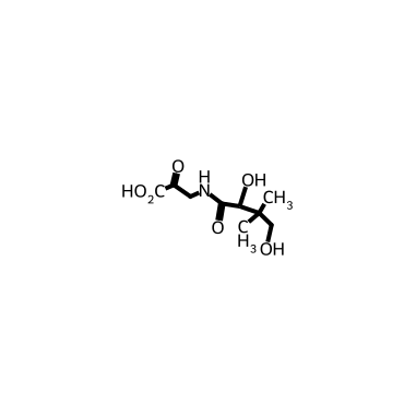 CC(C)(CO)C(O)C(=O)NCC(=O)C(=O)O